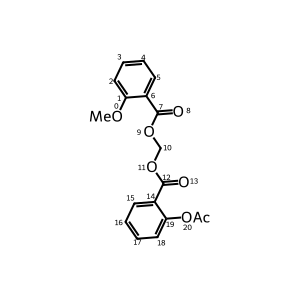 COc1ccccc1C(=O)OCOC(=O)c1ccccc1OC(C)=O